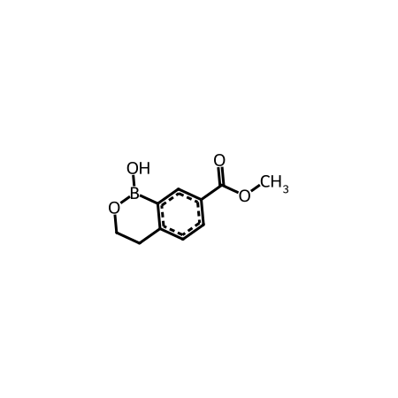 COC(=O)c1ccc2c(c1)B(O)OCC2